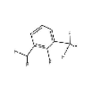 Fc1c(C(F)F)cccc1C(F)(F)F